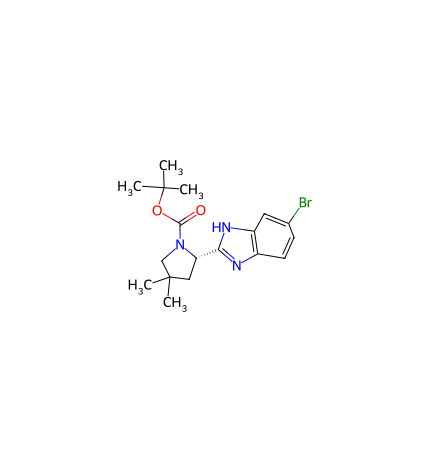 CC1(C)C[C@@H](c2nc3ccc(Br)cc3[nH]2)N(C(=O)OC(C)(C)C)C1